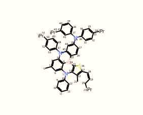 Cc1cc2c3c(c1)N(c1ccccc1)c1c(sc(/C=C\CC(C)C)c1C)B3c1ccc(N(c3ccc(C(C)C)cc3)c3cccc(C(C)C)c3)cc1N2c1ccc(C(C)C)cc1